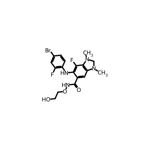 CN1CN(C)c2c1cc(C(=O)NOCCO)c(Nc1ccc(Br)cc1F)c2F